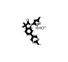 Cc1cc(N2C(=O)C(C)(C)c3ccc(-c4cnc(C)nc4)cc32)[nH]n1.Cl